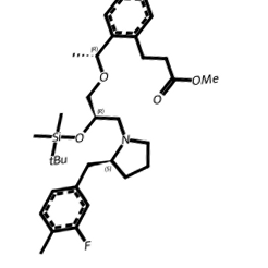 COC(=O)CCc1ccccc1[C@@H](C)OC[C@@H](CN1CCC[C@H]1Cc1ccc(C)c(F)c1)O[Si](C)(C)C(C)(C)C